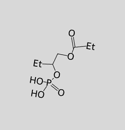 CCC(=O)OCC(CC)OP(=O)(O)O